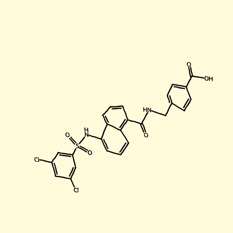 O=C(O)c1ccc(CNC(=O)c2cccc3c(NS(=O)(=O)c4cc(Cl)cc(Cl)c4)cccc23)cc1